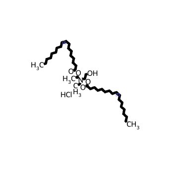 CCCCCCCC/C=C\CCCCCCCC(=O)OC(C)N(CCO)C(C)OC(=O)CCCCCCC/C=C\CCCCCCCC.Cl